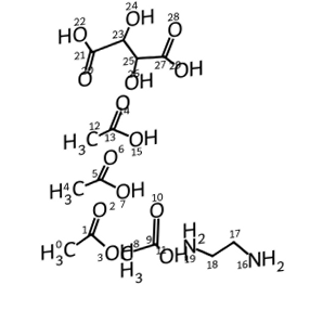 CC(=O)O.CC(=O)O.CC(=O)O.CC(=O)O.NCCN.O=C(O)C(O)C(O)C(=O)O